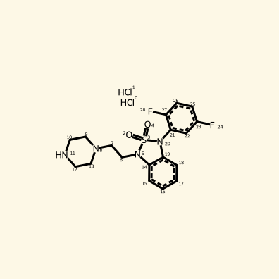 Cl.Cl.O=S1(=O)N(CCN2CCNCC2)c2ccccc2N1c1cc(F)ccc1F